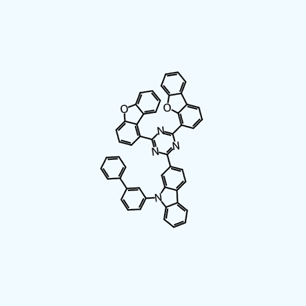 c1ccc(-c2cccc(-n3c4ccccc4c4ccc(-c5nc(-c6cccc7c6oc6ccccc67)nc(-c6cccc7oc8ccccc8c67)n5)cc43)c2)cc1